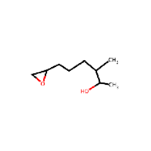 CC(O)C(C)CCCC1CO1